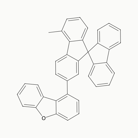 Cc1cccc2c1-c1ccc(-c3cccc4oc5ccccc5c34)cc1C21c2ccccc2-c2ccccc21